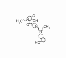 CCCN(CCN1CCN(C(=O)c2c(O)c(=O)ccn2CCC)CC1)[C@H]1CCc2c(O)cccc2C1